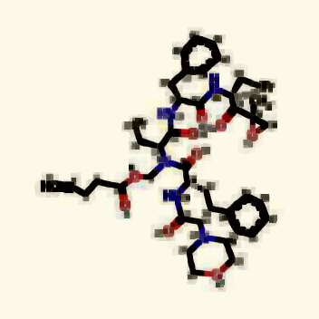 C#CCCC(=O)OCN(C(=O)[C@H](CCc1ccccc1)NC(=O)CN1CCOCC1)[C@@H](CC(C)C)C(=O)N[C@@H](Cc1ccccc1)C(=O)N[C@@H](CC(C)C)C(=O)[C@]1(C)CO1